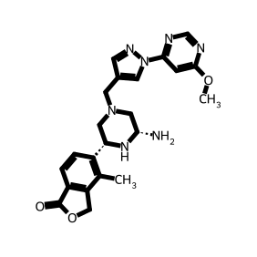 COc1cc(-n2cc(CN3C[C@@H](c4ccc5c(c4C)COC5=O)N[C@@H](N)C3)cn2)ncn1